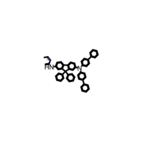 C=C(/C=C\C)Nc1ccc2c(c1)C(c1ccccc1)(c1ccccc1)c1cc(N(c3ccc(-c4ccccc4)cc3)c3ccc(-c4ccccc4)cc3)ccc1-2